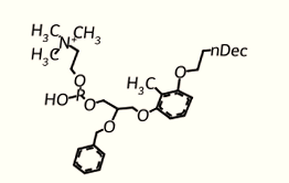 CCCCCCCCCCCCOc1cccc(OCC(COP(O)OCC[N+](C)(C)C)OCc2ccccc2)c1C